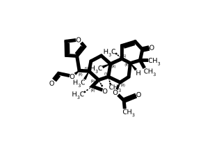 CC(=O)O[C@@H]1C[C@H]2C(C)(C)C(=O)C=C[C@]2(C)[C@@]2(C)CC[C@@](C)([C@@H](OC=O)c3ccoc3)[C@@]3(O[C@@H]3C)[C@]12C